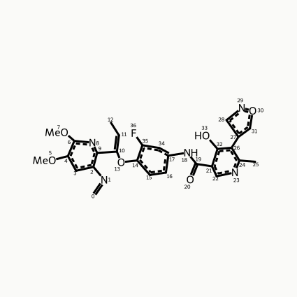 C=Nc1cc(OC)c(OC)nc1/C(=C\C)Oc1ccc(NC(=O)c2cnc(C)c(-c3cnoc3)c2O)cc1F